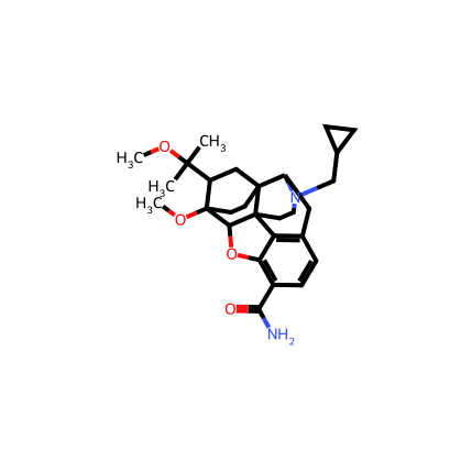 COC(C)(C)C1CC23CCC1(OC)C1Oc4c(C(N)=O)ccc5c4C12CCN(CC1CC1)C3C5